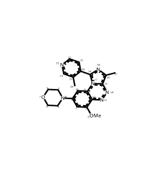 COc1cc(N2CCOCC2)cc2c1nnc1c(C)nc(-c3ccncc3C)n12